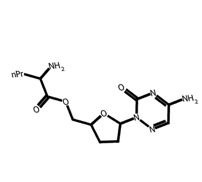 CCCC(N)C(=O)OCC1CCC(n2ncc(N)nc2=O)O1